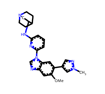 COc1cc2ncn(-c3cccc(NC4CN5CCC4CC5)n3)c2cc1-c1cnn(C)c1